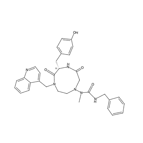 CN(C(=O)NCc1ccccc1)N1CCN(Cc2ccnc3ccccc23)C(=O)[C@H](Cc2ccc(O)cc2)NC(=O)C1